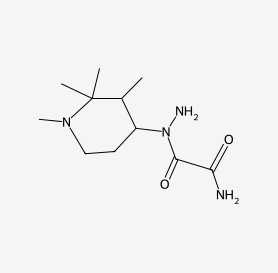 CC1C(N(N)C(=O)C(N)=O)CCN(C)C1(C)C